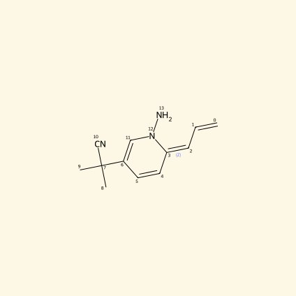 C=C/C=C1/C=CC(C(C)(C)C#N)=CN1N